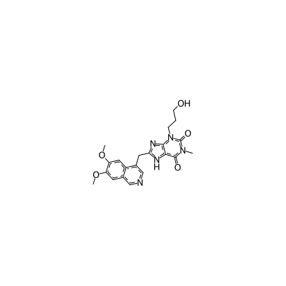 COc1cc2cncc(Cc3nc4c([nH]3)c(=O)n(C)c(=O)n4CCCO)c2cc1OC